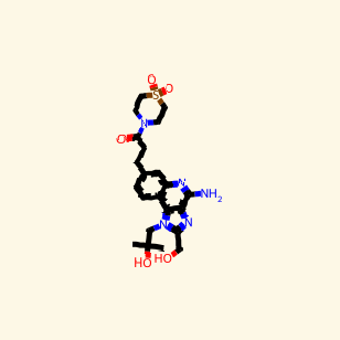 CC(C)(O)Cn1c(CO)nc2c(N)nc3cc(CCC(=O)N4CCS(=O)(=O)CC4)ccc3c21